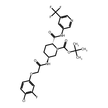 CC(C)(C)OC(=O)N1C[C@@H](NC(=O)COc2ccc(Cl)c(F)c2)CC[C@@H]1C(=O)Nc1cncc(C(F)(F)F)c1